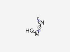 CN1C/C(=C\F)CC1CO/C=C1\CC(CO)N(C)C1